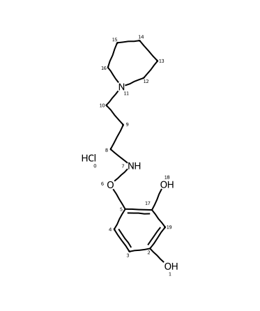 Cl.Oc1ccc(ONCCCN2CCCCC2)c(O)c1